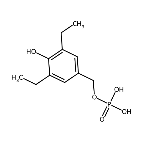 CCc1cc(COP(=O)(O)O)cc(CC)c1O